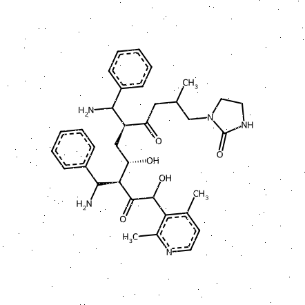 Cc1ccnc(C)c1C(O)C(=O)[C@@H](C(N)c1ccccc1)[C@@H](O)C[C@H](C(=O)CC(C)CN1CCNC1=O)C(N)c1ccccc1